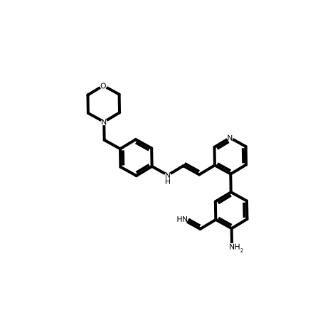 N=Cc1cc(-c2ccncc2/C=C/Nc2ccc(CN3CCOCC3)cc2)ccc1N